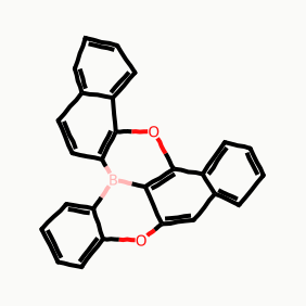 c1ccc2c(c1)Oc1cc3ccccc3c3c1B2c1ccc2ccccc2c1O3